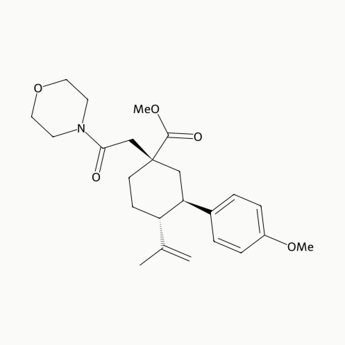 C=C(C)[C@@H]1CC[C@](CC(=O)N2CCOCC2)(C(=O)OC)C[C@H]1c1ccc(OC)cc1